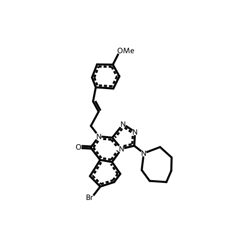 COc1ccc(C=CCn2c(=O)c3cc(Br)ccc3n3c(N4CCCCCC4)nnc23)cc1